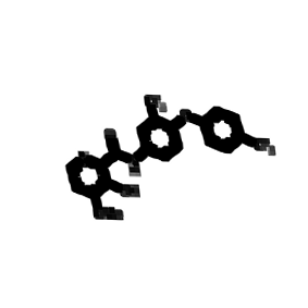 COc1ccnc(C(=O)Nc2ccc(Oc3ccc(C(F)(F)F)cc3)c(C(F)(F)F)c2)c1O